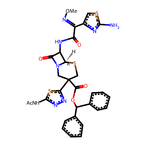 CON=C(C(=O)NC1C(=O)N2CC(C(=O)OC(c3ccccc3)c3ccccc3)(c3nnc(NC(C)=O)s3)CS[C@H]12)c1csc(N)n1